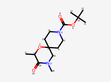 CC1OC2(CCN(C(=O)OC(C)(C)C)CC2)CN(C)C1=O